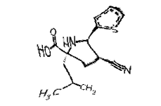 CC(C)C[C@@]1(C(=O)O)C[C@H](C#N)[C@H](c2cccs2)N1